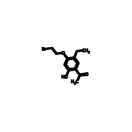 CCc1cc(C(C)=O)c(O)cc1OCCBr